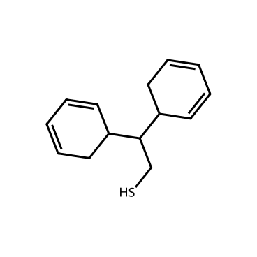 SCC(C1C=CC=CC1)C1C=CC=CC1